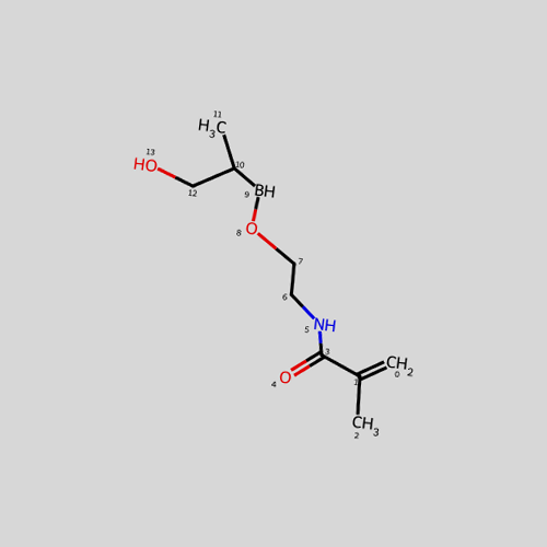 C=C(C)C(=O)NCCOBC(C)CO